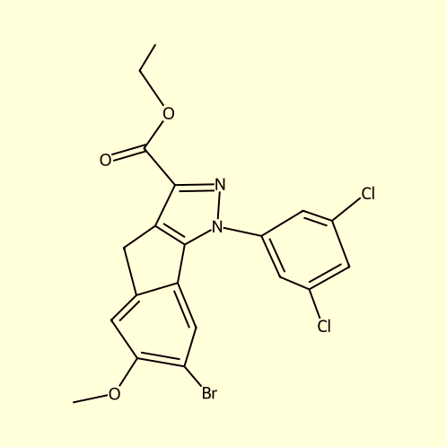 CCOC(=O)c1nn(-c2cc(Cl)cc(Cl)c2)c2c1Cc1cc(OC)c(Br)cc1-2